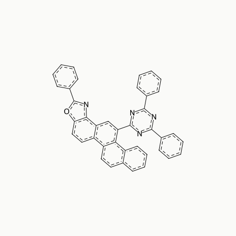 c1ccc(-c2nc(-c3ccccc3)nc(-c3cc4c(ccc5oc(-c6ccccc6)nc54)c4ccc5ccccc5c34)n2)cc1